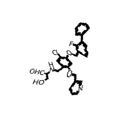 O=C[C@H](CO)NCc1cc(Cl)c(OCc2cccc(-c3ccccc3)c2F)cc1OCc1cccnc1